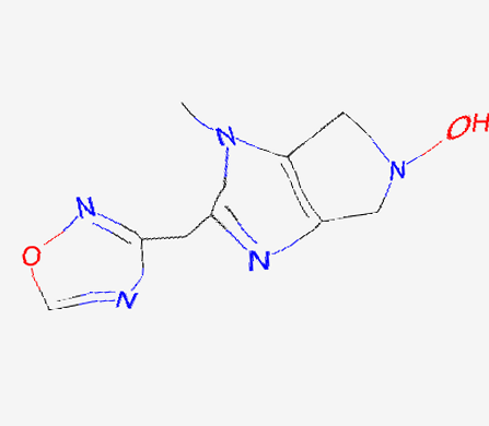 Cn1c(-c2ncon2)nc2c1CN(O)C2